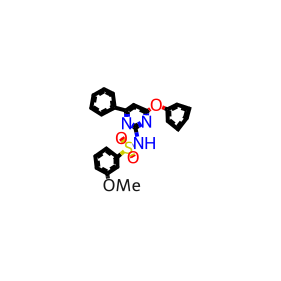 COc1cccc(S(=O)(=O)Nc2nc(Oc3ccccc3)cc(-c3ccccc3)n2)c1